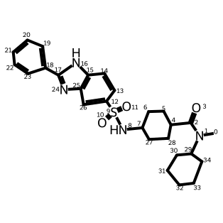 CN(C(=O)C1CCC(NS(=O)(=O)c2ccc3[nH]c(-c4ccccc4)nc3c2)CC1)C1CCCCC1